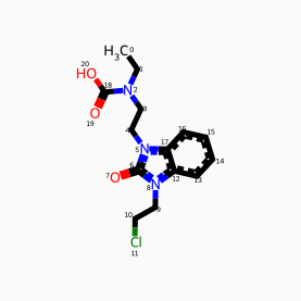 CCN(CCn1c(=O)n(CCCl)c2ccccc21)C(=O)O